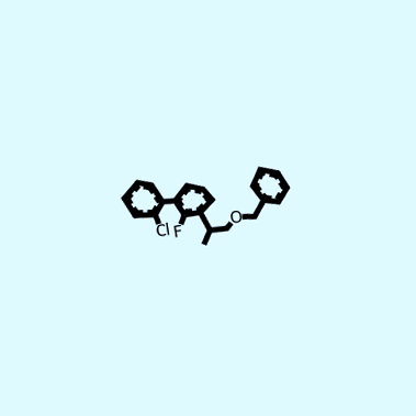 CC(COCc1ccccc1)c1cccc(-c2ccccc2Cl)c1F